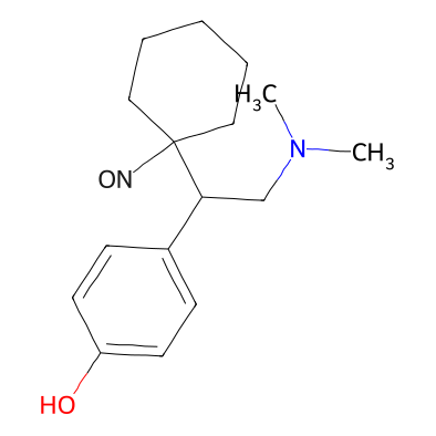 CN(C)CC(c1ccc(O)cc1)C1(N=O)CCCCC1